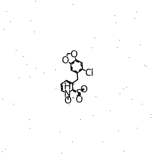 O=S(=O)=C1C(Cc2cc3c(cc2Cl)OCO3)=CC=C[NH+]1[O-]